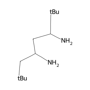 CC(C)(C)CC(N)CC(N)C(C)(C)C